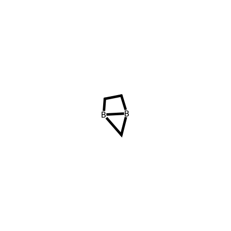 C1CB2CB12